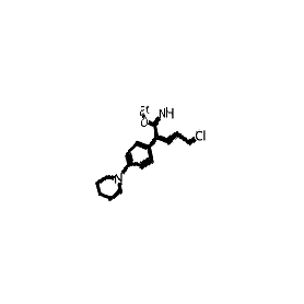 CCOC(=N)C(CCCCl)c1ccc(N2CCCCC2)cc1